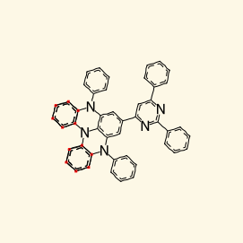 c1ccc(-c2cc(-c3cc(N(c4ccccc4)c4ccccc4)c(N(c4ccccc4)c4ccccc4)c(N(c4ccccc4)c4ccccc4)c3)nc(-c3ccccc3)n2)cc1